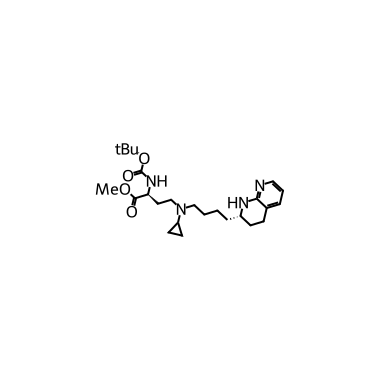 COC(=O)[C@H](CCN(CCCC[C@H]1CCc2cccnc2N1)C1CC1)NC(=O)OC(C)(C)C